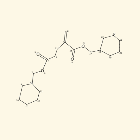 C=C(CCC(=O)OCC1CCCCC1)C(=O)OCC1CCCCC1